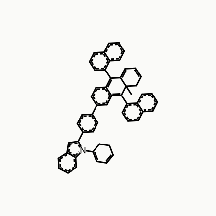 CC12CC=CC=C1C(c1cccc3ccccc13)=c1ccc(-c3ccc(-c4cc5ccccc5n4C4=CC=CCC4)cc3)cc1=C2c1cccc2ccccc12